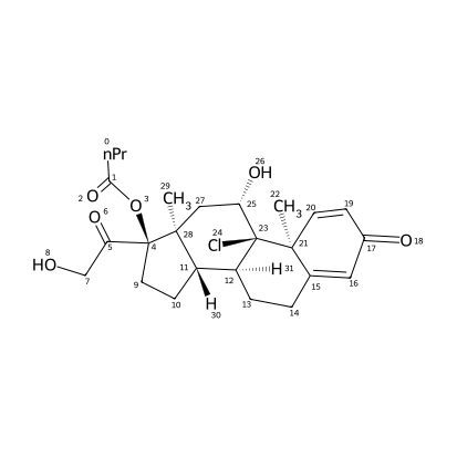 CCCC(=O)O[C@]1(C(=O)CO)CC[C@H]2[C@@H]3CCC4=CC(=O)C=C[C@]4(C)[C@@]3(Cl)[C@@H](O)C[C@@]21C